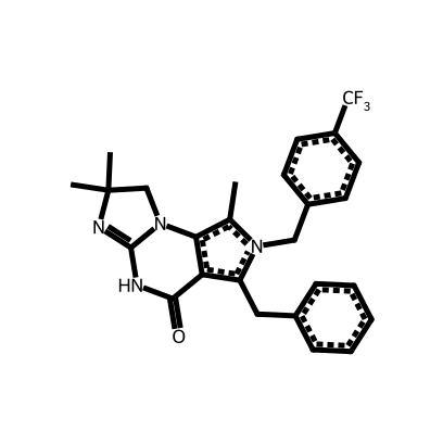 Cc1c2c(c(Cc3ccccc3)n1Cc1ccc(C(F)(F)F)cc1)C(=O)NC1=NC(C)(C)CN12